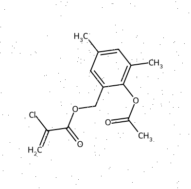 C=C(Cl)C(=O)OCc1cc(C)cc(C)c1OC(C)=O